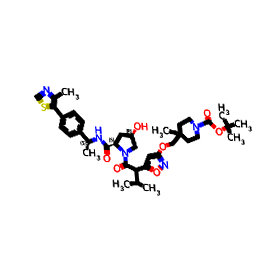 Cc1ncsc1-c1ccc([C@H](C)NC(=O)[C@@H]2C[C@@H](O)CN2C(=O)C(c2cc(OCC3(C)CCN(C(=O)OC(C)(C)C)CC3)no2)C(C)C)cc1